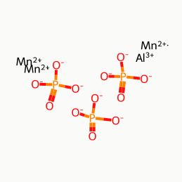 O=P([O-])([O-])[O-].O=P([O-])([O-])[O-].O=P([O-])([O-])[O-].[Al+3].[Mn+2].[Mn+2].[Mn+2]